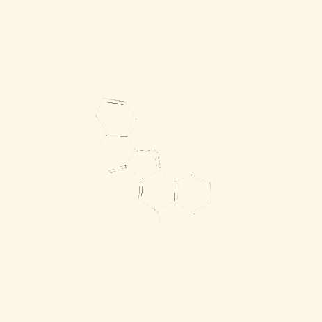 O=c1c2c[nH]c3ccc(F)cc3c-2nn1-c1ccccc1F